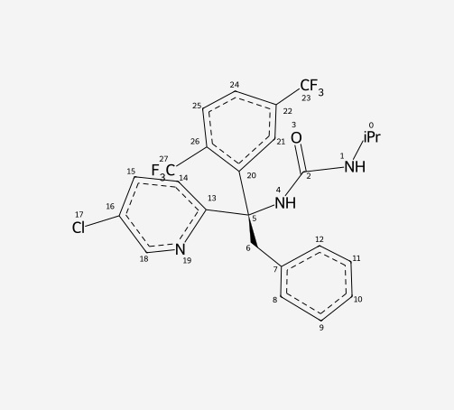 CC(C)NC(=O)N[C@](Cc1ccccc1)(c1ccc(Cl)cn1)c1cc(C(F)(F)F)ccc1C(F)(F)F